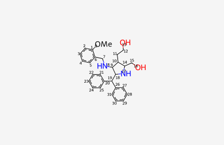 COc1ccccc1CNC1C(CCO)C(CO)NC1C(c1ccccc1)c1ccccc1